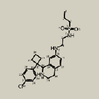 CCCS(=O)(=O)NCCNc1ccc2c(c1)C(C1(c3ccc(Cl)cc3)CCC1)NCC2